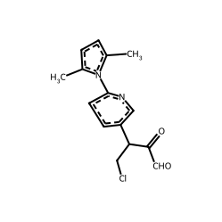 Cc1ccc(C)n1-c1ccc(C(CCl)C(=O)C=O)cn1